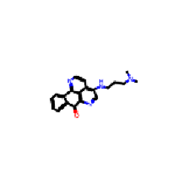 CN(C)CCCNc1cnc2c3c(nccc13)-c1ccccc1C2=O